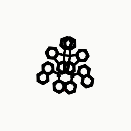 c1ccc(N(c2ccc3c(c2)C(c2ccccc2)(C2(c4ccccc4)c4ccccc4-c4ccc(N(c5ccccc5)c5cccc6ccccc56)cc42)c2ccccc2-3)c2cccc3ccccc23)cc1